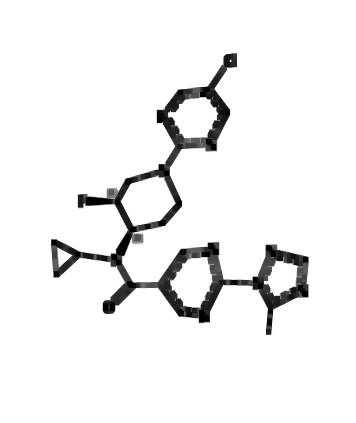 Cc1ncnn1-c1ncc(C(=O)N(C2CC2)[C@@H]2CCN(c3ncc(Cl)cn3)C[C@@H]2F)cn1